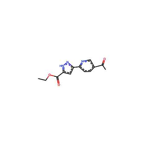 CCOC(=O)c1cc(-c2ccc(C(C)=O)cn2)n[nH]1